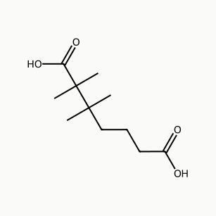 CC(C)(CCCC(=O)O)C(C)(C)C(=O)O